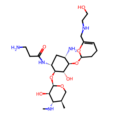 CN[C@@H]1[C@@H](O)[C@@H](O[C@@H]2[C@@H](O)[C@H](O[C@@H]3CCC=C(CNCCO)O3)[C@@H](N)C[C@H]2NC(=O)CCN)OC[C@H]1C